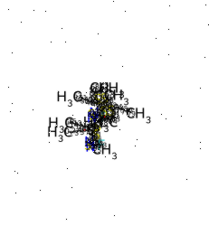 CCCCCCCC[Si]1(CCCCCCCC)c2cc(-c3cc(F)c(C)c4nsnc34)sc2-c2sc(-c3cc(F)c(-c4cc5c(-c6cc(CCCCCC)c(CC(CC)CCCC)s6)c6sc(C)cc6c(-c6cc(CCCCCC)c(CC(CC)CCCC)s6)c5s4)c4nsnc34)cc21